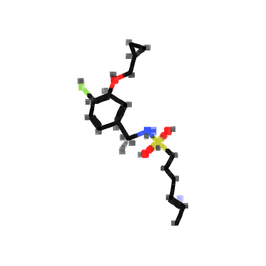 C/C=C/CCCS(=O)(=O)N[C@H](C)c1ccc(F)c(OCC2CC2)c1